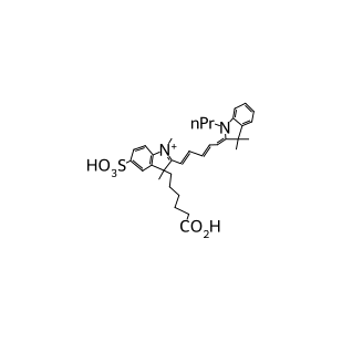 CCCN1\C(=C/C=C/C=C/C2=[N+](C)c3ccc(S(=O)(=O)O)cc3C2(C)CCCCCC(=O)O)C(C)(C)c2ccccc21